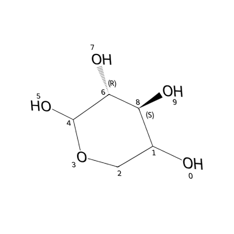 OC1COC(O)[C@H](O)[C@H]1O